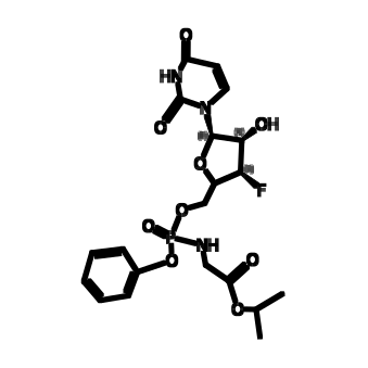 CC(C)OC(=O)CNP(=O)(OCC1O[C@@H](n2ccc(=O)[nH]c2=O)[C@@H](O)[C@H]1F)Oc1ccccc1